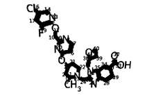 C[C@H]1C[C@@H](Oc2ccnc(COc3ncc(Cl)cc3F)n2)CCN1Cc1nc2ccc(C(=O)O)cc2n1CC1CCO1